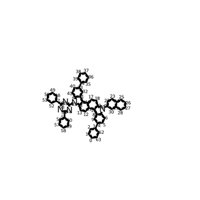 c1ccc(-c2ccc3c(c2)c2c4ccc5c(c4ccc2n3-c2ccc3ccccc3c2)c2cc(-c3ccccc3)ccc2n5-c2nc(-c3ccccc3)nc(-c3ccccc3)n2)cc1